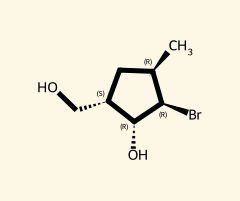 C[C@@H]1C[C@@H](CO)[C@@H](O)[C@@H]1Br